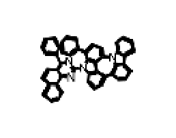 c1ccc(-c2nc(-n3c4cccc5c6cccc7c8ccccc8n(c8ccc(-c9ccccc9)c3c8c54)c67)nc3c2ccc2ccccc23)cc1